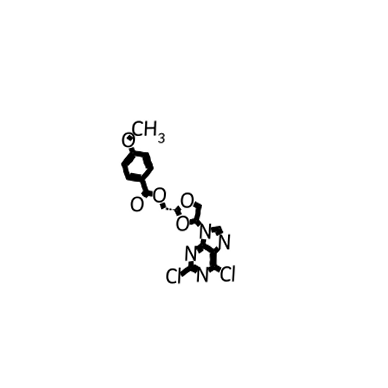 COc1ccc(C(=O)OC[C@@H]2OCC(n3cnc4c(Cl)nc(Cl)nc43)O2)cc1